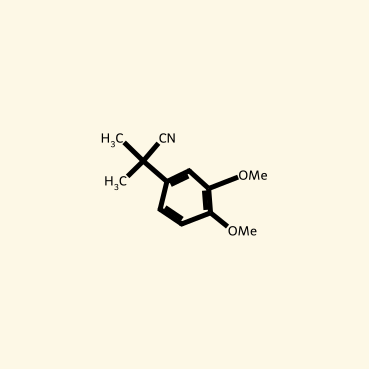 COc1ccc(C(C)(C)C#N)cc1OC